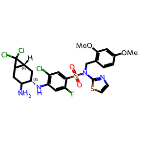 COc1ccc(CN(c2nccs2)S(=O)(=O)c2cc(Cl)c(N[C@H]3C[C@@H]4C(CC3N)C4(Cl)Cl)cc2F)c(OC)c1